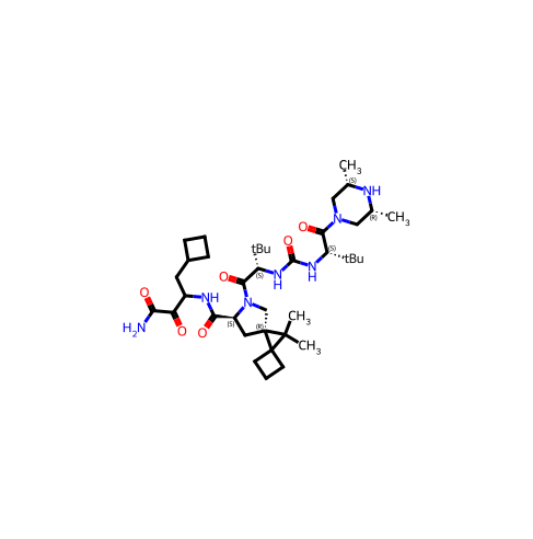 C[C@@H]1CN(C(=O)[C@@H](NC(=O)N[C@H](C(=O)N2C[C@]3(C[C@H]2C(=O)NC(CC2CCC2)C(=O)C(N)=O)C(C)(C)C32CCC2)C(C)(C)C)C(C)(C)C)C[C@H](C)N1